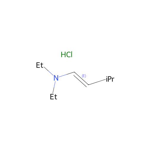 CCN(/C=C/C(C)C)CC.Cl